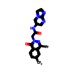 CC(C)c1nn(CC(=O)Nc2cnc3nccn3c2)c(=O)c2ccc(C(F)(F)F)cc12